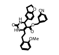 COc1ccccc1CCC1=C(C(=O)OCc2cccc(C#N)c2)C(c2ccc3c(c2)CCO3)NC(=O)N1